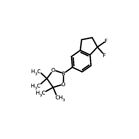 CC1(C)OB(c2ccc3c(c2)CCC3(F)F)OC1(C)C